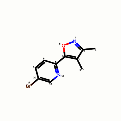 [CH2]c1c(C)noc1-c1ccc(Br)cn1